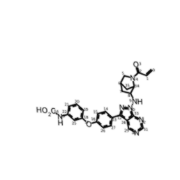 C=CC(=O)N1CC2CC(Nn3nc(-c4ccc(Oc5cccc(NC(=O)O)c5)cc4)c4cncnc43)C1C2